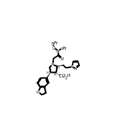 CCCON(CCC)C(=O)CN1C[C@H](c2ccc3c(c2)CCO3)[C@@H](C(=O)O)[C@@H]1CCn1cccn1